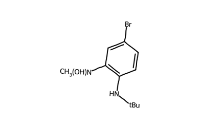 CN(O)c1cc(Br)ccc1NC(C)(C)C